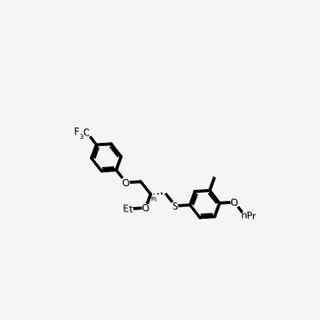 CCCOc1ccc(SC[C@@H](COc2ccc(C(F)(F)F)cc2)OCC)cc1C